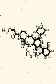 C=CC(=O)N1CCN2Cc3c(N4CCOCC4)nc(-c4c(O)cccc4F)c(C)c3N(C)C(=O)[C@H]2C1